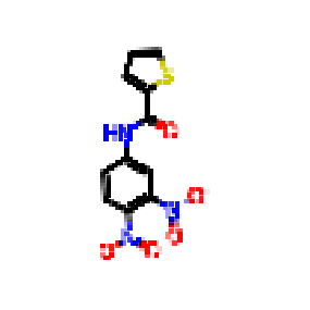 O=C(Nc1ccc([N+](=O)[O-])c([N+](=O)[O-])c1)c1cccs1